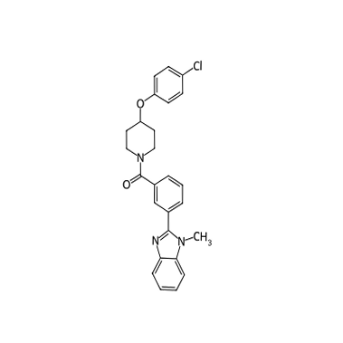 Cn1c(-c2cccc(C(=O)N3CCC(Oc4ccc(Cl)cc4)CC3)c2)nc2ccccc21